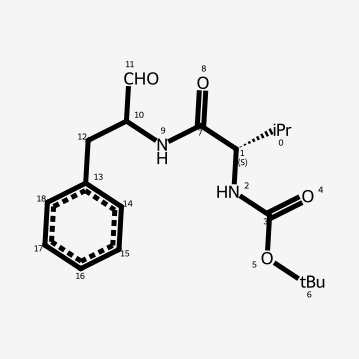 CC(C)[C@H](NC(=O)OC(C)(C)C)C(=O)NC(C=O)Cc1ccccc1